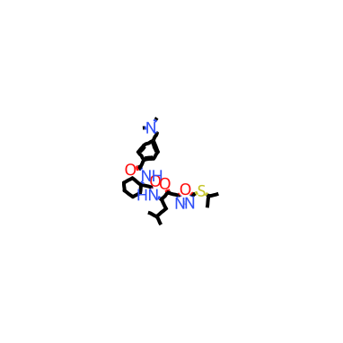 CC(C)CC(NC(=O)C1(NC(=O)c2ccc(CN(C)C)cc2)CCCCC1)C(=O)c1nnc(SC(C)C)o1